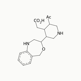 CC(=O)C1CNCC(C2CNc3ccccc3CO2)C1CC(=O)O